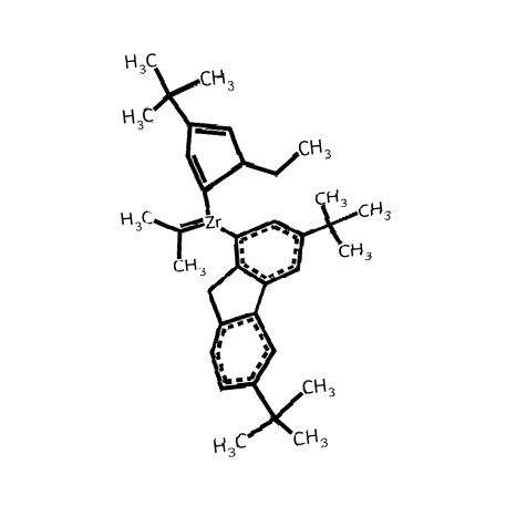 CCC1C=C(C(C)(C)C)C=[C]1[Zr](=[C](C)C)[c]1cc(C(C)(C)C)cc2c1Cc1ccc(C(C)(C)C)cc1-2